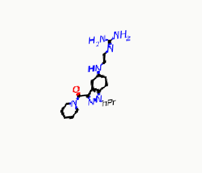 CCCn1nc(C(=O)N2CCCCC2)c2c1CCC(NCCN=C(N)N)C2